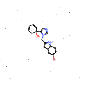 OC1(c2cncn2Cc2cc3cc(Br)ccc3[nH]2)C=CC=CC1